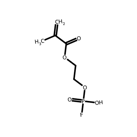 C=C(C)C(=O)OCCOP(=O)(O)F